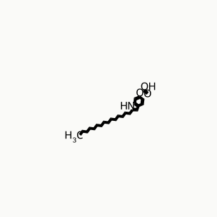 CCCCCCCCCCCCCCCc1cc2ccc(OC(=O)O)cc2[nH]1